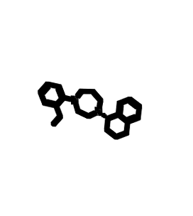 CCc1ccccc1N1CCCN([C@H]2CCCc3ccccc32)CC1